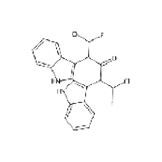 O=C(C(c1c[nH]c2ccccc12)C(F)Cl)C(c1c[nH]c2ccccc12)C(F)Cl